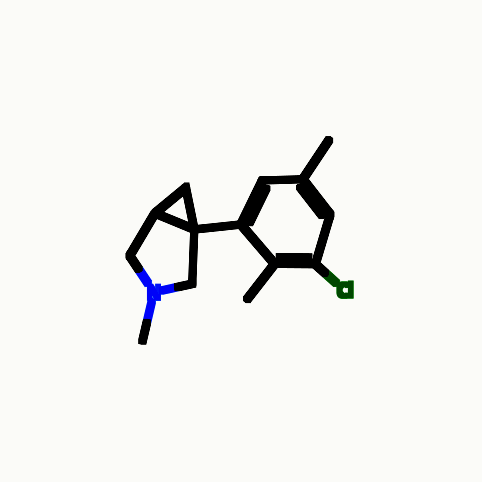 Cc1cc(Cl)c(C)c(C23CC2CN(C)C3)c1